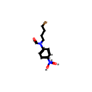 O=CN(CCCCBr)c1ccc([N+](=O)[O-])cc1